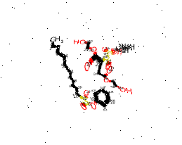 CCCCCCCCCCCCS(=O)(=O)Oc1ccccc1.O=C(CC(C(=O)OCCO)S(=O)(=O)O)OCCO.[NaH].[NaH].[NaH]